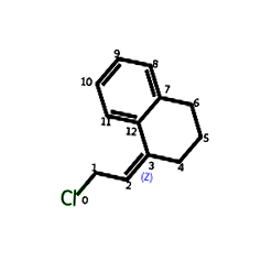 ClC/C=C1/CCCc2ccccc21